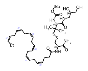 CC/C=C\C/C=C\C/C=C\C/C=C\C/C=C\C/C=C\CCC(=O)N[C@@H](CSSC(C)(C)[C@H](NC(=O)OC(C)(C)C)C(=O)NC[C@@H](O)CO)C(N)=O